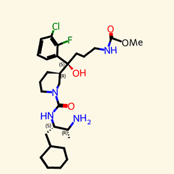 COC(=O)NCCC[C@@](O)(c1cccc(Cl)c1F)[C@@H]1CCCN(C(=O)N[C@@H](CC2CCCCC2)[C@@H](C)N)C1